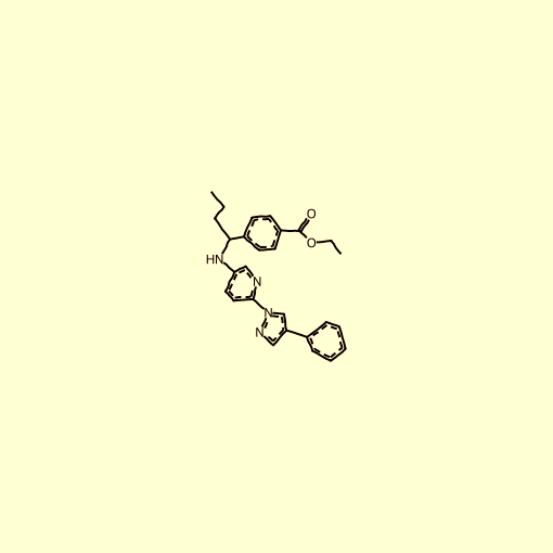 CCCC(Nc1ccc(-n2cc(-c3ccccc3)cn2)nc1)c1ccc(C(=O)OCC)cc1